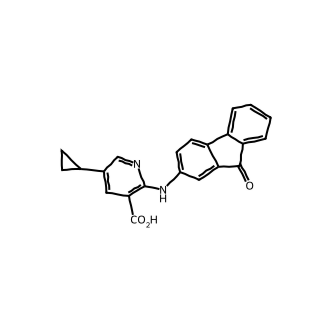 O=C1c2ccccc2-c2ccc(Nc3ncc(C4CC4)cc3C(=O)O)cc21